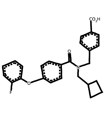 O=C(O)c1ccc(CN(CC2CCC2)C(=O)c2ccc(Oc3ccccc3F)cc2)cc1